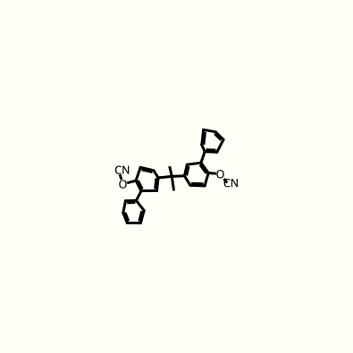 CC(C)(c1ccc(OC#N)c(-c2ccccc2)c1)c1ccc(OC#N)c(-c2ccccc2)c1